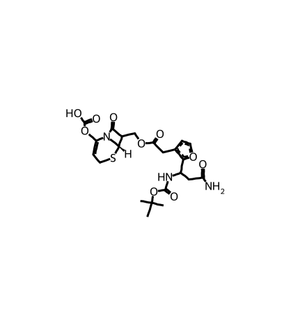 CC(C)(C)OC(=O)NC(CC(N)=O)c1occc1CC(=O)OCC1C(=O)N2C(OC(=O)O)=CCS[C@@H]12